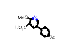 COc1ncc(-c2ccc(C(C)=O)cc2)cc1C(=O)O